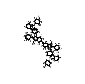 Cc1ccc(-n2c3ccccc3c3cc(-n4c(-c5ccccc5)c(C)c5cc(-c6ccc7c(c6)c(C)c(-c6ccccc6)n7-c6ccc7c(c6)c6ccccc6n7-c6ccc(C)cc6)ccc54)ccc32)cc1